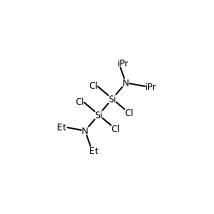 CCN(CC)[Si](Cl)(Cl)[Si](Cl)(Cl)N(C(C)C)C(C)C